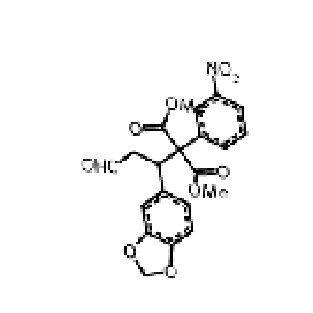 COC(=O)C(C(=O)OC)(c1cccc([N+](=O)[O-])c1)C(CC=O)c1ccc2c(c1)OCO2